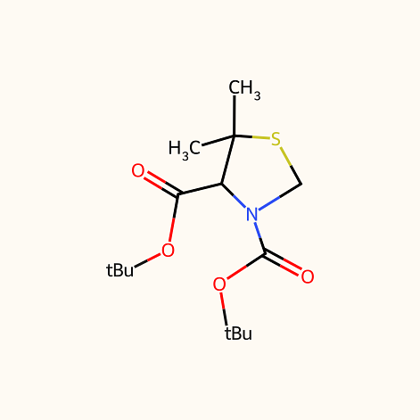 CC(C)(C)OC(=O)C1N(C(=O)OC(C)(C)C)CSC1(C)C